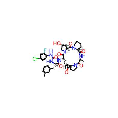 Cc1cccc(C[C@H](NC(=O)Nc2ccc(Cl)cc2F)C(=O)N[C@H]2C[C@H]3C(=O)[C@]34CCCN4C(=O)[C@H](C)NC(=O)[C@@H]3CCCCN3C(=O)[C@@H]3C[C@@H](O)CN3C2=O)c1